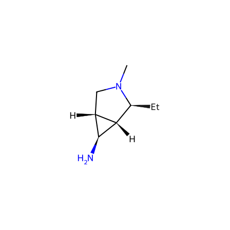 CC[C@H]1[C@@H]2[C@@H](N)[C@@H]2CN1C